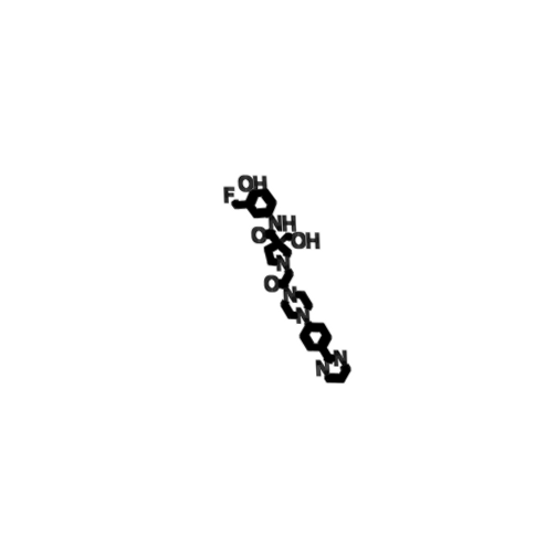 O=C(CN1CC[C@](CO)(C(=O)Nc2ccc(O)c(CF)c2)C1)N1CCN(c2ccc(-c3ncccn3)cc2)CC1